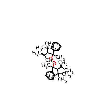 C=C(C)C(C(C)(C)C)C(C)(OOC(C)(c1ccccc1)C(C(=C)C)C(C)(C)C)c1ccccc1